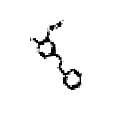 O=C=Nc1cc(OCc2ccccc2)cnc1Cl